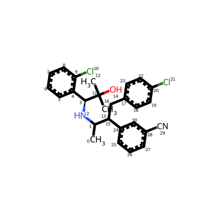 CC(N[C@@H](c1ccccc1Cl)C(C)(C)O)C(Cc1ccc(Cl)cc1)c1cccc(C#N)c1